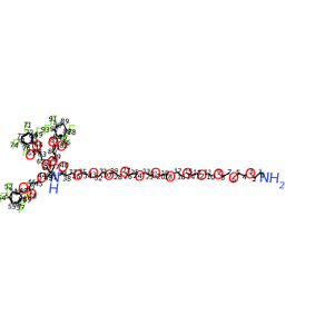 NCCOCCOCCOCCOCCOCCOCCOCCOCCOCCOCCOCCOCCC(=O)NC(COCCC(=O)Oc1c(F)c(F)cc(F)c1F)(COCCC(=O)Oc1c(F)c(F)cc(F)c1F)COCCC(=O)OC1C(F)C(F)CC(F)C1F